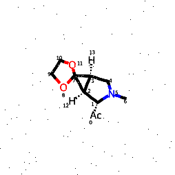 CC(=O)[C@@H]1[C@@H]2[C@H](CN1C)C21OCCO1